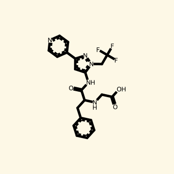 O=C(O)CNC(Cc1ccccc1)C(=O)Nc1cc(-c2ccncc2)nn1CC(F)(F)F